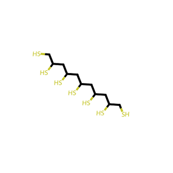 SCC(S)CC(S)CC(S)CC(S)CC(S)CS